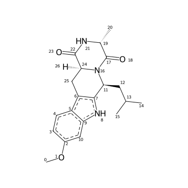 COc1ccc2c3c([nH]c2c1)[C@H](CC(C)C)N1C(=O)[C@@H](C)NC(=O)[C@@H]1C3